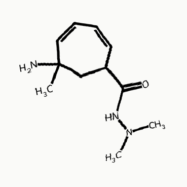 CN(C)NC(=O)C1C=CC=CC(C)(N)C1